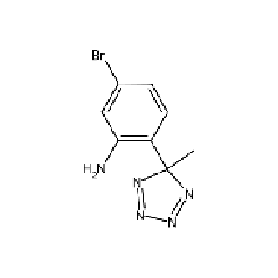 CC1(c2ccc(Br)cc2N)N=NN=N1